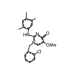 COc1cn(Cc2ccccc2Cl)c(Nc2cc(C)c(C)cc2C)nc1=O